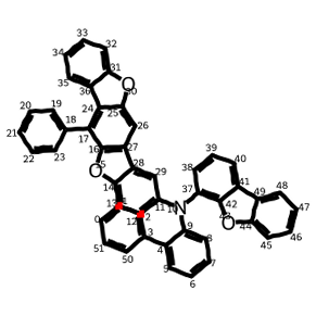 c1ccc(-c2ccccc2N(c2ccc3oc4c(-c5ccccc5)c5c(cc4c3c2)oc2ccccc25)c2cccc3c2oc2ccccc23)cc1